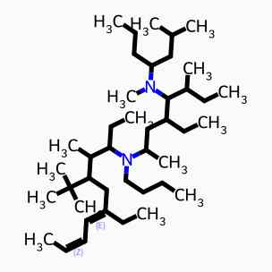 C/C=C\C=C(/CC)CC(C(C)C(CC)N(CCCC)C(C)CC(CC)C(C(C)CC)N(C)C(CCC)CC(C)C)C(C)(C)C